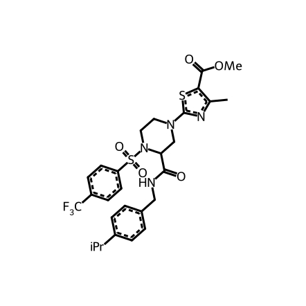 COC(=O)c1sc(N2CCN(S(=O)(=O)c3ccc(C(F)(F)F)cc3)C(C(=O)NCc3ccc(C(C)C)cc3)C2)nc1C